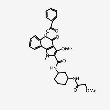 COCC(=O)NC1CCCC(NC(=O)c2c(OC)c3c(=O)n(CC(=O)c4ccccc4)c4ccccc4c3n2C)C1